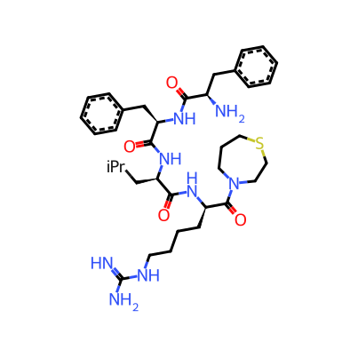 CC(C)C[C@@H](NC(=O)[C@@H](Cc1ccccc1)NC(=O)[C@H](N)Cc1ccccc1)C(=O)N[C@H](CCCCNC(=N)N)C(=O)N1CCCSCC1